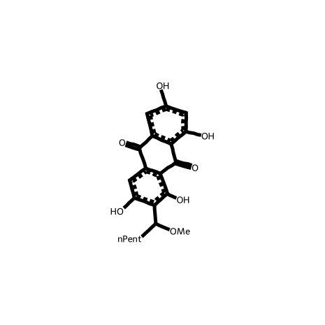 CCCCCC(OC)c1c(O)cc2c(c1O)C(=O)c1c(O)cc(O)cc1C2=O